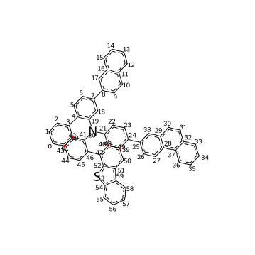 c1ccc(-c2ccc(-c3ccc4ccccc4c3)cc2N(c2ccc(-c3ccc4c(ccc5ccccc54)c3)cc2)c2ccccc2-c2cccc3c2sc2ccccc23)cc1